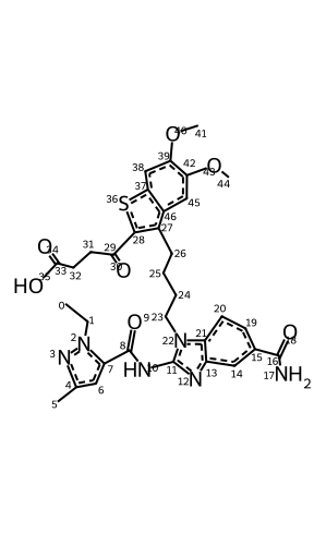 CCn1nc(C)cc1C(=O)Nc1nc2cc(C(N)=O)ccc2n1CCCCc1c(C(=O)CCC(=O)O)sc2cc(OC)c(OC)cc12